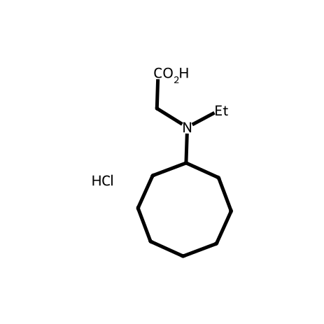 CCN(CC(=O)O)C1CCCCCCC1.Cl